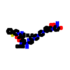 COc1ncc(-c2ccnc(N3CCc4c(sc5c4CCCC5)C3=O)c2CO)cc1Nc1ccc(N2CCN(C3CCN(c4ccc5c(c4)CN([C@H]4CCC(=O)NC4=O)C5=O)CC3)C[C@@H]2C)cn1